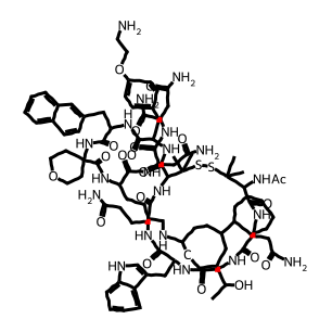 CC(=O)NC1C(=O)NC(CC(N)=O)C(=O)NC(C(C)O)C(=O)NC(Cc2c[nH]c3ccccc23)C(=O)NC(CCC(N)=O)C(=O)NC(C(=O)NC(Cc2ccc(OCCN)cc2)C(=O)NC(Cc2ccc3ccccc3c2)C(=O)NC2(C(=O)NC(CCCCNC3CCCCC(C4CCCCCC4)CC3)C(=O)NC(CC(N)=O)C(=O)NC(CC(N)=O)C(N)=O)CCOCC2)C(C)(C)SSC1(C)C